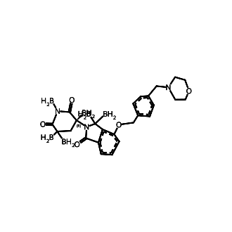 BN1C(=O)C(B)(B)C[C@@](B)(N2C(=O)c3cccc(OCc4ccc(CN5CCOCC5)cc4)c3C2(B)B)C1=O